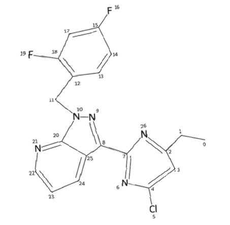 CCc1[c]c(Cl)nc(-c2nn(Cc3ccc(F)cc3F)c3ncccc23)n1